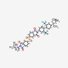 CCC(C)(CC)c1ccc(-c2ccc(N3C(=O)c4ccc(S(=O)(=O)c5ccc6c(c5)C(=O)N(C(C)(CC)CC)C6=O)cc4C3=O)cc2C(F)(F)F)c(C(F)(F)F)c1